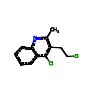 Cc1nc2ccccc2c(Cl)c1CCCl